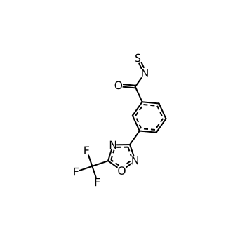 O=C(N=S)c1cccc(-c2noc(C(F)(F)F)n2)c1